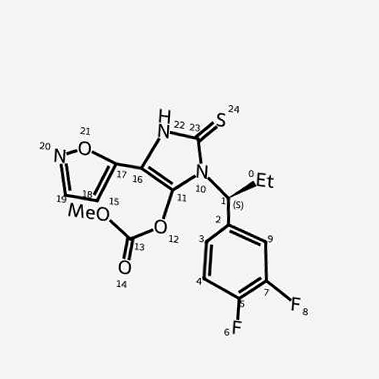 CC[C@@H](c1ccc(F)c(F)c1)n1c(OC(=O)OC)c(-c2ccno2)[nH]c1=S